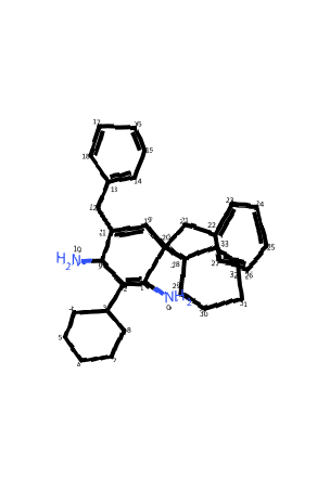 NC1=C(C2CCCCC2)C(N)C(Cc2ccccc2)=CC1(Cc1ccccc1)C1CCCCC1